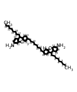 CCCCCCCCCC(c1ccc(CCCCCCCCc2ccc(C(CCCCCCCCC)c3ccc(N)cc3C)cc2)cc1)c1ccc(N)cc1C